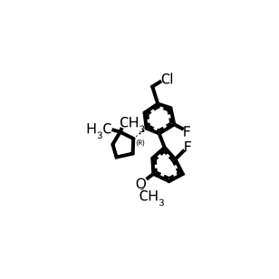 COc1ccc(F)c(-c2c(F)cc(CCl)cc2[C@@H]2CCCC2(C)C)c1